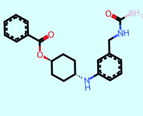 BC(=O)NCc1cccc(N[C@H]2CC[C@H](OC(=O)c3ccccc3)CC2)c1